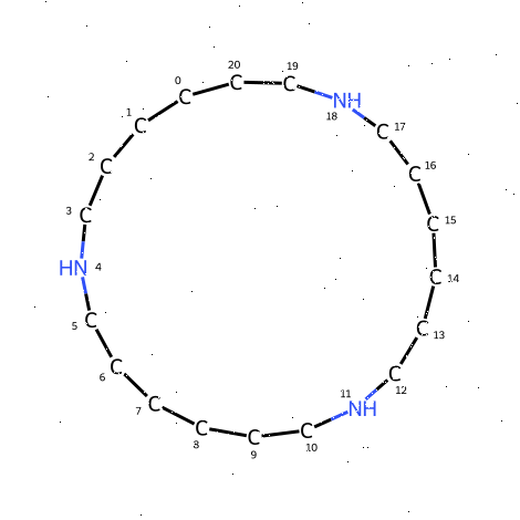 C1CCCNCCCCCCNCCCCCCNCC1